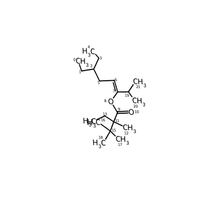 CCC(CC)C/C=C(\OC(=O)C(C)(CC)C(C)(C)C)C(C)C